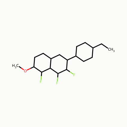 CCC1CCC(C2CC3CCC(OC)C(F)C3C(F)C2F)CC1